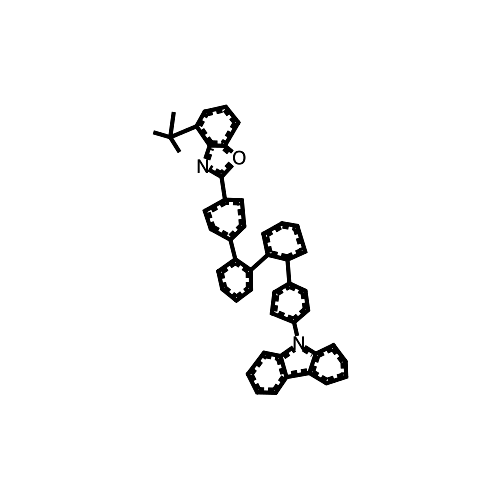 CC(C)(C)c1cccc2oc(-c3ccc(-c4ccccc4-c4ccccc4-c4ccc(-n5c6ccccc6c6ccccc65)cc4)cc3)nc12